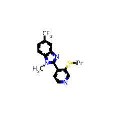 CC(C)Sc1cnccc1-c1nc2cc(C(F)(F)F)ccc2n1C